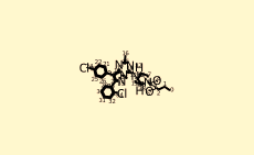 CCCS(=O)(=O)N1C[C@@H]2C[C@H]1CN2c1nc(C)nc2c(-c3ccc(Cl)cc3)c(-c3ccccc3Cl)nn12